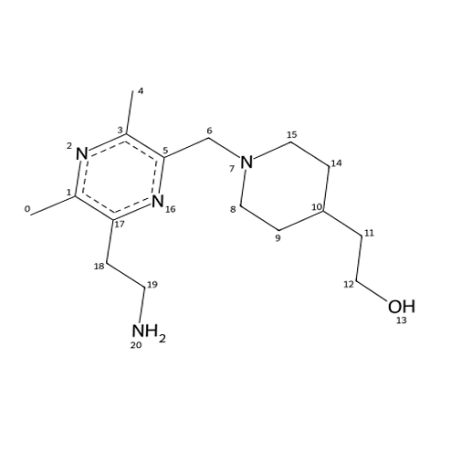 Cc1nc(C)c(CN2CCC(CCO)CC2)nc1CCN